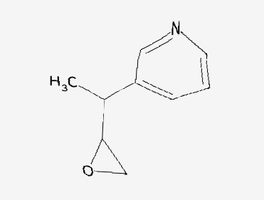 CC(c1cccnc1)C1CO1